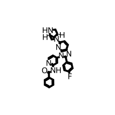 O=C(Nc1cc(-n2c(-c3ccc(F)cc3)nc3ccc(N4C[C@@H]5C[C@H]4CN5)nc32)ccn1)c1ccccc1